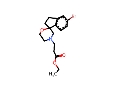 CCOC(=O)CCN1CCOC2(CCc3cc(Br)ccc32)C1